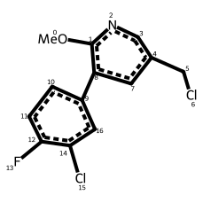 COc1ncc(CCl)cc1-c1ccc(F)c(Cl)c1